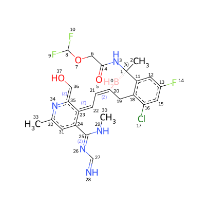 B[C@@](C)(NC(=O)COC(F)F)c1cc(F)cc(Cl)c1C\C=C/C=c1/c(/C(=N/C=N)NC)cc(C)n/c1=C\O